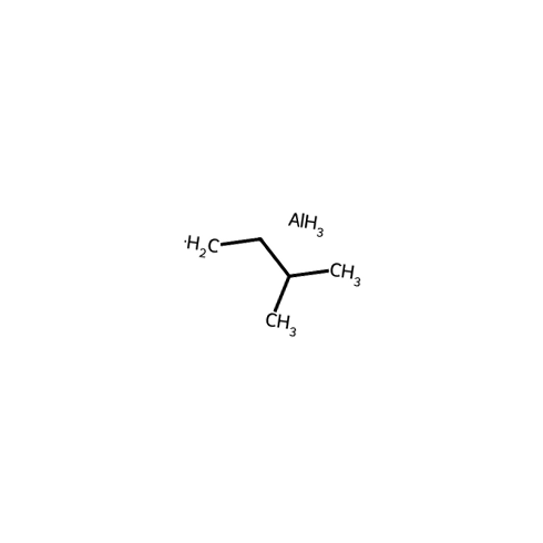 [AlH3].[CH2]CC(C)C